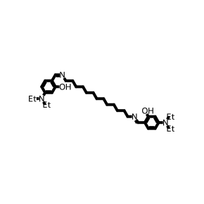 CCN(CC)c1ccc(/C=N\CCCCCCCCCCCCC/N=C/c2ccc(N(CC)CC)cc2O)c(O)c1